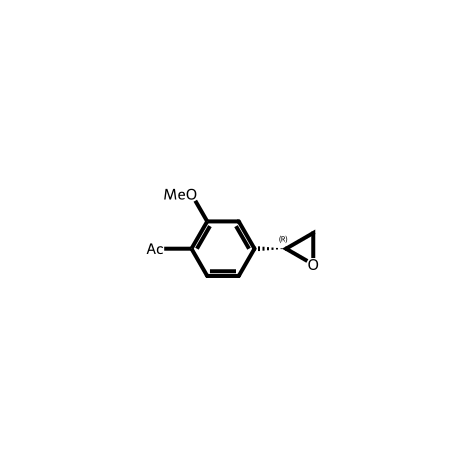 COc1cc([C@@H]2CO2)ccc1C(C)=O